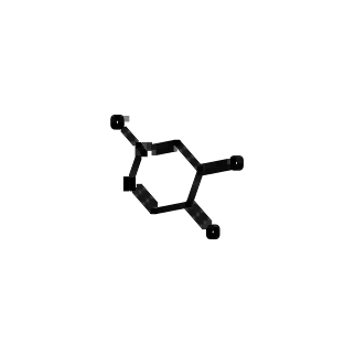 O=C1C=N[N+]([O-])=CC1=O